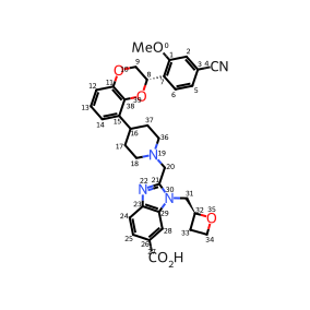 COc1cc(C#N)ccc1[C@H]1COc2cccc(C3CCN(Cc4nc5ccc(C(=O)O)cc5n4C[C@@H]4CCO4)CC3)c2O1